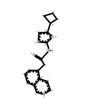 O=C(Cc1cccc2cnccc12)Nc1ncc(C2CCC2)s1